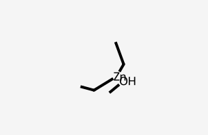 CO.C[CH2][Zn][CH2]C